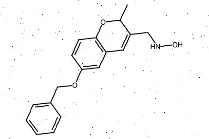 CC1Oc2ccc(OCc3ccccc3)cc2C=C1CNO